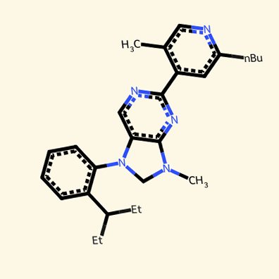 CCCCc1cc(-c2ncc3c(n2)N(C)CN3c2ccccc2C(CC)CC)c(C)cn1